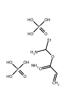 C=CC(=O)OC(N)CC.N.O=P(O)(O)O.O=P(O)(O)O